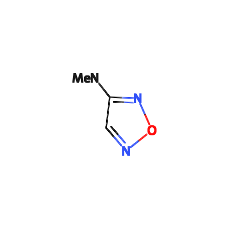 [CH2]Nc1cnon1